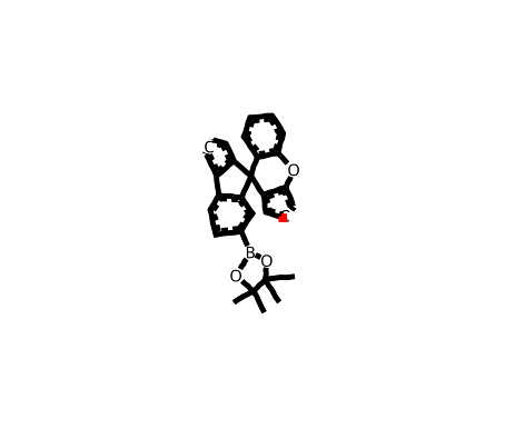 CC1(C)OB(c2ccc3c(c2)C2(c4ccccc4Oc4ccccc42)c2ccccc2-3)OC1(C)C